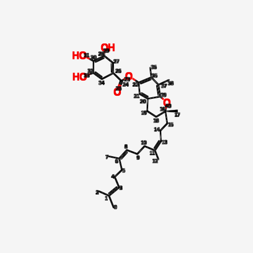 CC(C)=CCCC(C)=CCCC(C)=CCC[C@]1(C)CCc2cc(OC(=O)c3cc(O)c(O)c(O)c3)c(C)c(C)c2O1